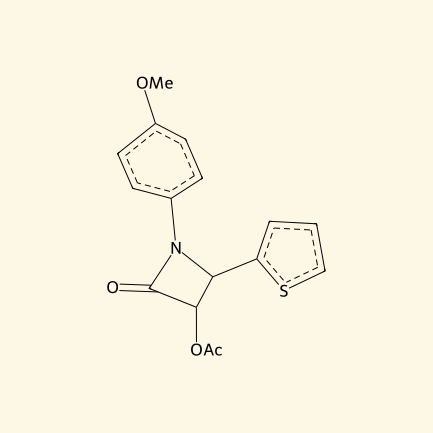 COc1ccc(N2C(=O)C(OC(C)=O)C2c2cccs2)cc1